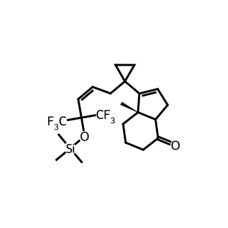 C[C@]12CCCC(=O)C1CC=C2C1(C/C=C\C(O[Si](C)(C)C)(C(F)(F)F)C(F)(F)F)CC1